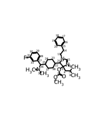 COC(=O)OC1(CC(C)C)N=CN(CCc2ccccc2)C1C1CCC(C(c2cccc(F)c2)N(C)C)CC1